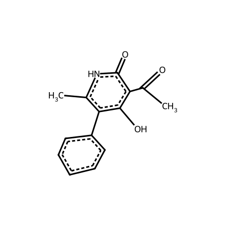 CC(=O)c1c(O)c(-c2ccccc2)c(C)[nH]c1=O